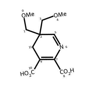 COCC1(COC)C=NC(C(=O)O)=C(C(=O)O)C1